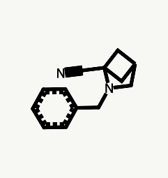 N#CC12CC(CN1Cc1ccccc1)C2